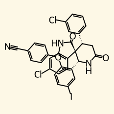 N#Cc1ccc(Oc2ccc(I)cc2[C@H]2NC(=O)C[C@@H](c3cccc(Cl)c3)[C@]23C(=O)Nc2cc(Cl)ccc23)cc1